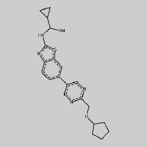 OC(Nc1nc2ccc(-c3cnc(COC4CCCC4)nc3)cc2s1)C1CC1